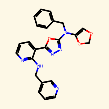 C1=C(N(Cc2ccccc2)c2nnc(-c3cccnc3NCc3cccnc3)o2)OCO1